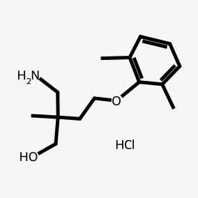 Cc1cccc(C)c1OCCC(C)(CN)CO.Cl